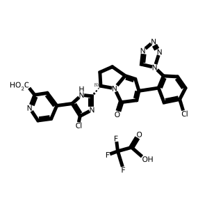 O=C(O)C(F)(F)F.O=C(O)c1cc(-c2[nH]c([C@@H]3CCc4cc(-c5cc(Cl)ccc5-n5cnnn5)cc(=O)n43)nc2Cl)ccn1